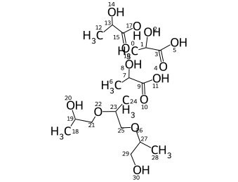 CC(O)C(=O)O.CC(O)C(=O)O.CC(O)C(=O)O.CC(O)COC(C)COC(C)CO